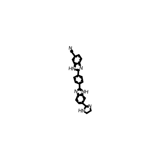 N#Cc1ccc2nc(-c3ccc(-c4nc5ccc(C6=NCCN6)cc5[nH]4)cc3)[nH]c2c1